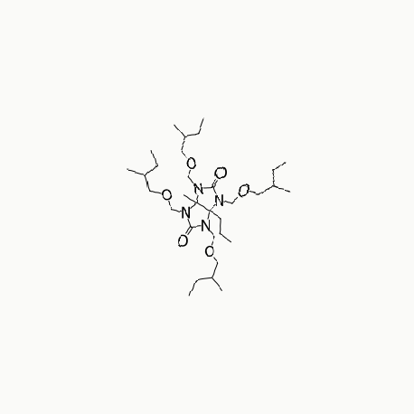 CCCC12N(COCC(C)CC)C(=O)N(COCC(C)CC)C1(C)N(COCC(C)CC)C(=O)N2COCC(C)CC